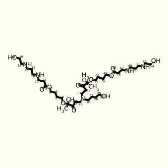 CC(C)(OCCCCOC(=O)CCNCCCNCCO)C(=O)CCN(CCCCO)CCC(=O)C(C)(C)OCCCCOC(=O)CCNCCCNCCO